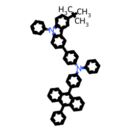 CC(C)(C)c1ccc2c(c1)c1cc(-c3ccc(N(c4ccccc4)c4ccc(-c5c6ccccc6c(-c6ccccc6)c6ccccc56)cc4)cc3)ccc1n2-c1ccccc1